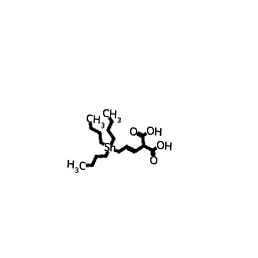 CCC[CH2][Sn]([CH2]/C=C/C(C(=O)O)C(=O)O)([CH2]CCC)[CH2]CCC